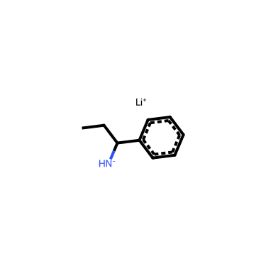 CCC([NH-])c1ccccc1.[Li+]